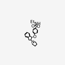 CCNS(=O)(=O)c1ccc(O[C@@H]2c3ccccc3C[C@H]2N2CCCC2)cc1